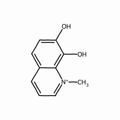 C[n+]1cccc2ccc(O)c(O)c21